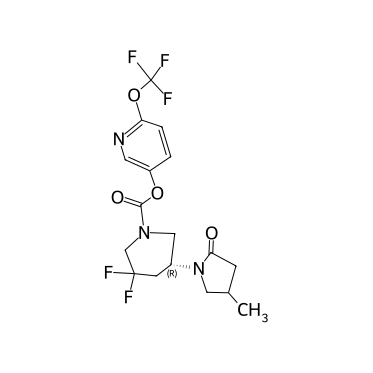 CC1CC(=O)N([C@H]2CN(C(=O)Oc3ccc(OC(F)(F)F)nc3)CC(F)(F)C2)C1